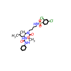 COC(=O)N(CCCCNS(=O)(=O)c1ccc(Cl)cc1Cl)C[C@H](CC(C)C)NC(=O)Nc1ccccc1